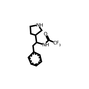 O=C(NC(Cc1ccccc1)C1CCNC1)C(F)(F)F